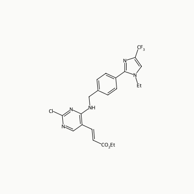 CCOC(=O)/C=C/c1cnc(Cl)nc1NCc1ccc(-c2nc(C(F)(F)F)cn2CC)cc1